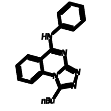 CCCCc1nnc2nc(Nc3ccccc3)c3ccccc3n12